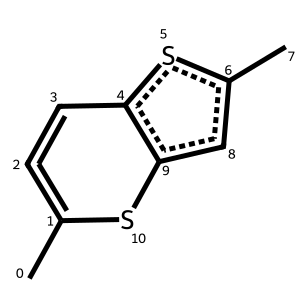 CC1=C=Cc2sc(C)cc2S1